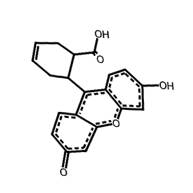 O=C(O)C1CC=CCC1c1c2ccc(=O)cc-2oc2cc(O)ccc12